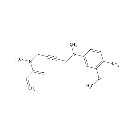 C=CC(=O)N(C)CC#CCN(C)c1ccc(N)c(OC)c1